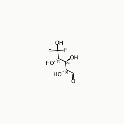 O=C[C@H](O)[C@H](O)[C@H](O)C(O)(F)F